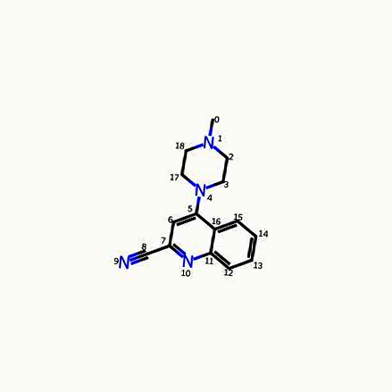 CN1CCN(c2cc(C#N)nc3ccccc23)CC1